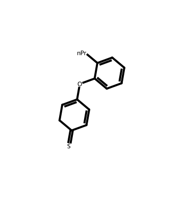 [CH2]CCc1ccccc1OC1=CCC(=S)C=C1